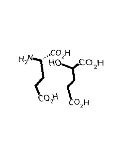 N[C@@H](CCC(=O)O)C(=O)O.O=C(O)CCC(O)C(=O)O